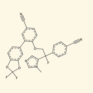 Cn1cncc1C(F)(COc1ccc(C#N)cc1-c1ccc2c(c1)OC(F)(F)O2)c1ccc(C#N)cc1